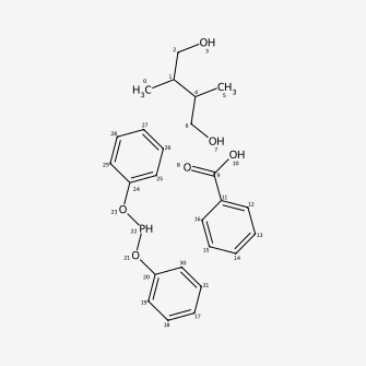 CC(CO)C(C)CO.O=C(O)c1ccccc1.c1ccc(OPOc2ccccc2)cc1